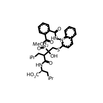 COC(=O)c1ccccc1C(=O)N[n+]1c(SCC(O)([PH2]=O)C(CC(C)C)C(=O)N[C@@H](CC(C)C)C(=O)O)ccc2ccccc21